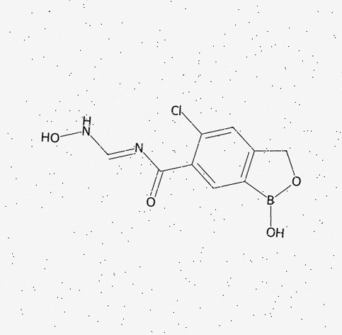 O=C(/N=C/NO)c1cc2c(cc1Cl)COB2O